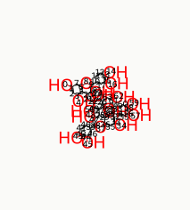 Oc1cc(O)c2c(c1)OC(c1ccc(O)c(O)c1)C(O)C2Cc1c(O)c2c(c(C3c4c(O)cc(O)cc4OC(c4ccc(O)c(O)c4)C3O)c1O)OC(c1ccc(O)c(O)c1)C(O)C2